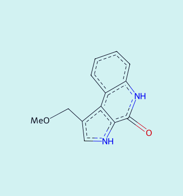 COCc1c[nH]c2c(=O)[nH]c3ccccc3c12